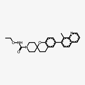 CCONC(=O)N1CCC2(CCc3cc(-c4ccc5cccnc5c4C)ccc3O2)CC1